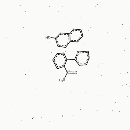 NC(=O)c1ccccc1-c1ccncn1.Oc1ccc2ccccc2c1